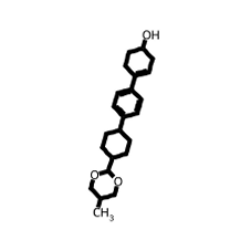 CC1COC(C2CCC(c3ccc(C4=CCC(O)CC4)cc3)CC2)OC1